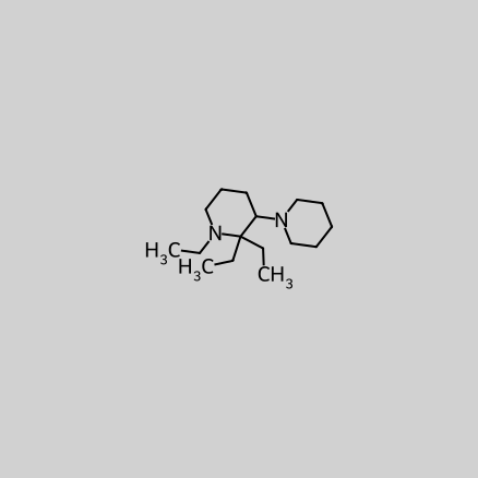 CCN1CCCC(N2CCCCC2)C1(CC)CC